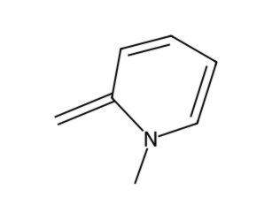 C=C1C=CC=CN1C